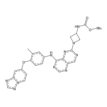 Cc1cc(Nc2ncnc3cnc(N4CC(NC(=O)OC(C)(C)C)C4)nc23)ccc1Oc1ccn2ncnc2c1